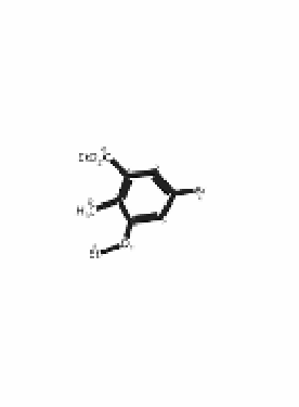 CCOC(=O)c1cc(Br)cc(OCC)c1C